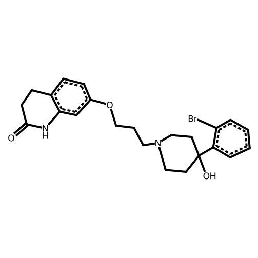 O=C1CCc2ccc(OCCCN3CCC(O)(c4ccccc4Br)CC3)cc2N1